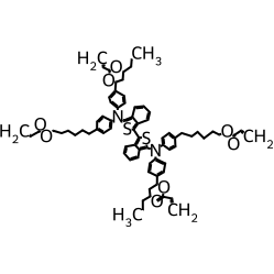 C=CC(=O)OCCCCCCc1ccc(N(c2ccc(C(CCCCC)OC(=O)C=C)cc2)c2sc(-c3sc(N(c4ccc(CCCCCCOC(=O)C=C)cc4)c4ccc(C(CCCCC)OC(=O)C=C)cc4)c4ccccc34)c3ccccc23)cc1